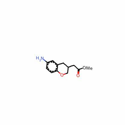 COC(=O)CC1COc2ccc(N)cc2C1